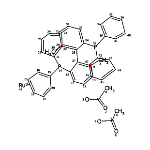 CC(=O)[O-].CC(=O)[O-].Cc1cccc(P(c2ccccc2)c2ccccc2)c1-c1c(C)cccc1P(c1ccccc1)c1ccccc1.[Ru+2]